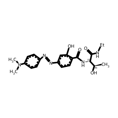 CCNC(=O)[C@@H](NC(=O)c1ccc(N=Nc2ccc(N(C)C)cc2)cc1O)[C@@H](C)O